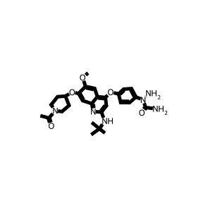 COc1cc2c(Oc3ccc(N(N)C(N)=O)cc3)cc(NC(C)(C)C)nc2cc1OC1CCN(C(C)=O)CC1